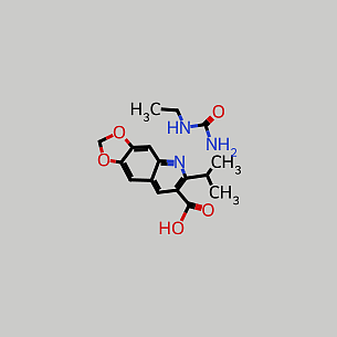 CC(C)c1nc2cc3c(cc2cc1C(=O)O)OCO3.CCNC(N)=O